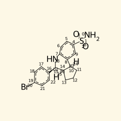 NS(=O)(=O)c1ccc2c(c1)[C@H]1CCC[C@H]1[C@@H](c1ccc(Br)cc1)N2